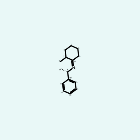 CC1CCCC/C1=N/[C@@H](C)c1ccccc1